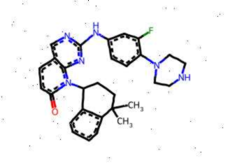 CC1(C)CCC(n2c(=O)ccc3cnc(Nc4ccc(N5CCNCC5)c(F)c4)nc32)c2ccccc21